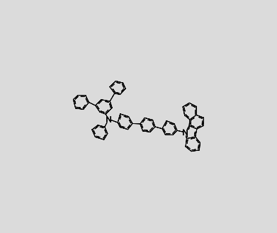 c1ccc(-c2cc(-c3ccccc3)cc(N(c3ccccc3)c3ccc(-c4ccc(-c5ccc(-n6c7ccccc7c7ccc8ccccc8c76)cc5)cc4)cc3)c2)cc1